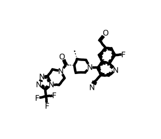 C[C@@H]1CN(c2c(C#N)cnc3c(F)cc(C=O)cc23)CC[C@@H]1C(=O)N1CCn2c(nnc2C(F)(F)F)C1